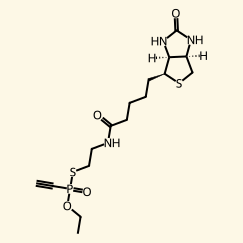 C#CP(=O)(OCC)SCCNC(=O)CCCC[C@@H]1SC[C@@H]2NC(=O)N[C@@H]21